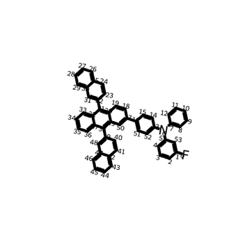 Fc1cccc(N(c2ccccc2)c2ccc(-c3ccc4c(-c5ccc6ccccc6c5)c5ccccc5c(-c5ccc6ccccc6c5)c4c3)cc2)c1